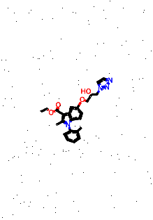 CCOC(=O)c1c(C)n(-c2ccccc2C)c2ccc(OCC(O)Cn3ccnn3)cc12